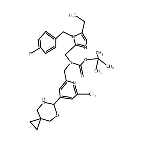 CCc1cnc(CN(Cc2cc(C3NCC4(CC4)CO3)cc(C)n2)C(=O)OC(C)(C)C)n1Cc1ccc(F)cc1